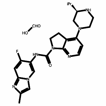 Cc1cn2cc(NC(=O)N3CCc4c(N5CCN[C@H](C(C)C)C5)ccnc43)c(F)cc2n1.O=CO